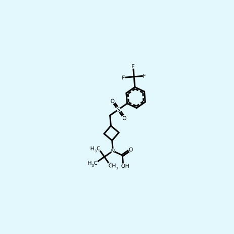 CC(C)(C)N(C(=O)O)C1CC(CS(=O)(=O)c2cccc(C(F)(F)F)c2)C1